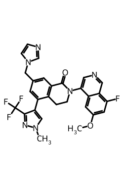 COc1cc(F)c2cncc(N3CCc4c(cc(Cn5ccnc5)cc4-c4cn(C)nc4C(F)(F)F)C3=O)c2c1